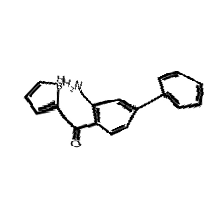 Nc1cc(-c2ccccc2)ccc1C(=O)C1=CC=CB1